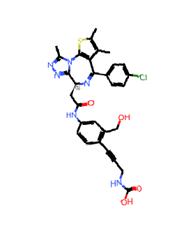 Cc1sc2c(c1C)C(c1ccc(Cl)cc1)=N[C@@H](CC(=O)Nc1ccc(C#CCNC(=O)O)c(CO)c1)c1nnc(C)n1-2